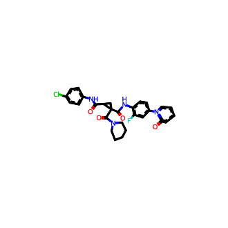 O=C(Nc1ccc(Cl)cc1)C1CC1(C(=O)Nc1ccc(-n2ccccc2=O)cc1F)C(=O)N1CCCCC1